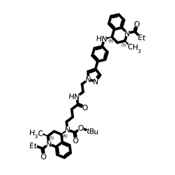 CCC(=O)N1c2ccccc2[C@H](N(CCCC(=O)NCCn2cc(-c3ccc(N[C@@H]4C[C@H](C)N(C(=O)CC)c5ccccc54)cc3)cn2)C(=O)OC(C)(C)C)C[C@@H]1C